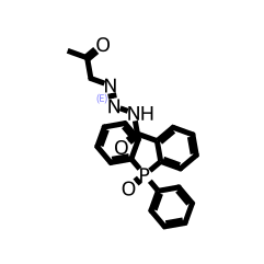 CC(=O)C/N=N/NC(=O)c1ccccc1P(=O)(c1ccccc1)c1ccccc1